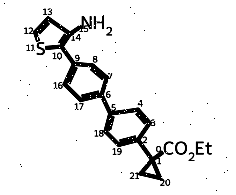 CCOC(=O)C1(c2ccc(-c3ccc(-c4sccc4N)cc3)cc2)CC1